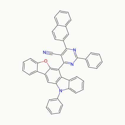 N#Cc1c(-c2ccc3ccccc3c2)nc(-c2ccccc2)nc1-c1c2oc3ccccc3c2cc2c1c1ccccc1n2-c1ccccc1